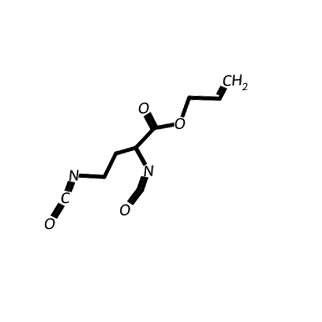 C=CCOC(=O)C(CCN=C=O)N=C=O